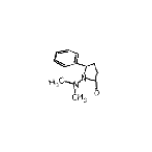 CN(C)N1C(=O)CCC1c1ccccc1